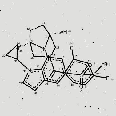 CC(C)(C)CS(=O)(=O)c1cc(N2[C@@H]3CC[C@H]2CN(C(=O)c2ccc(F)cc2Cl)C3)c2c(ccn2C2CC2)c1